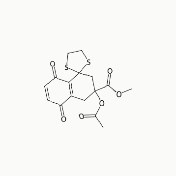 COC(=O)C1(OC(C)=O)CC2=C(C(=O)C=CC2=O)C2(C1)SCCS2